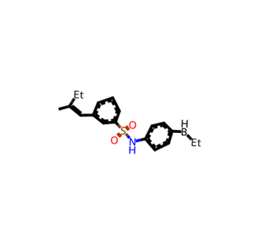 CCBc1ccc(NS(=O)(=O)c2cccc(/C=C(/C)CC)c2)cc1